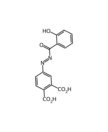 O=C(N=Nc1ccc(C(=O)O)c(C(=O)O)c1)c1ccccc1O